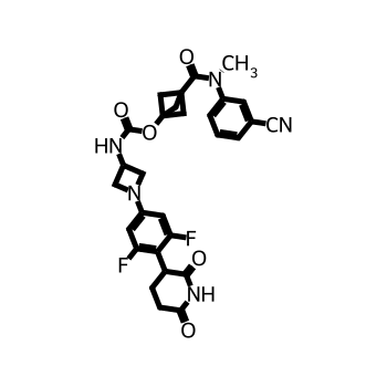 CN(C(=O)C12CC(OC(=O)NC3CN(c4cc(F)c(C5CCC(=O)NC5=O)c(F)c4)C3)(C1)C2)c1cccc(C#N)c1